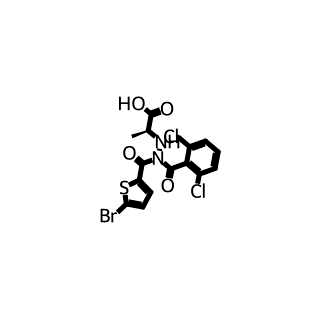 C[C@H](NN(C(=O)c1ccc(Br)s1)C(=O)c1c(Cl)cccc1Cl)C(=O)O